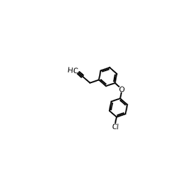 C#CCc1cccc(Oc2ccc(Cl)cc2)c1